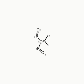 CCC.O=POP=O